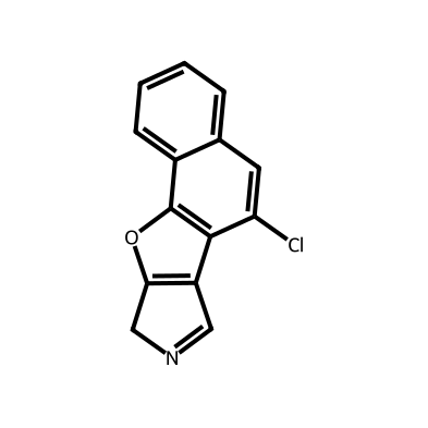 Clc1cc2ccccc2c2oc3c(c12)C=NC3